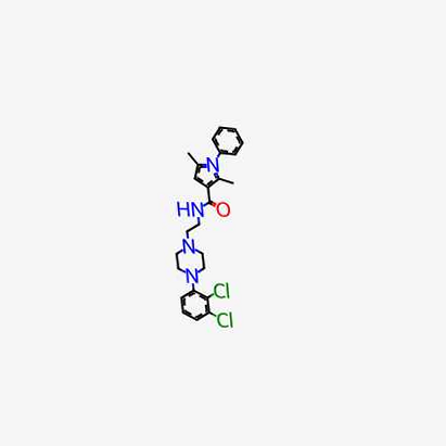 Cc1cc(C(=O)NCCN2CCN(c3cccc(Cl)c3Cl)CC2)c(C)n1-c1ccccc1